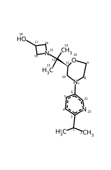 CC(C)c1ccc(N2CCO[C@H](C(C)(C)N3CC(O)C3)C2)cn1